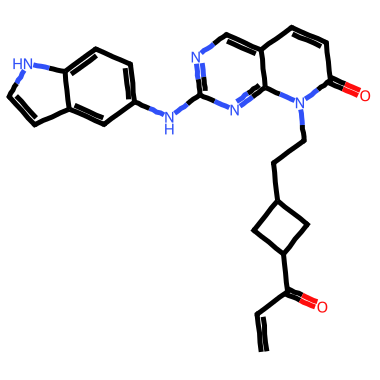 C=CC(=O)C1CC(CCn2c(=O)ccc3cnc(Nc4ccc5[nH]ccc5c4)nc32)C1